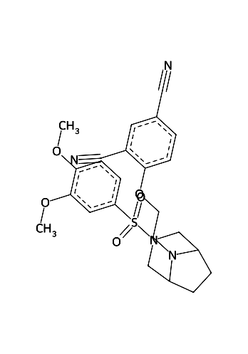 COc1ccc(S(=O)(=O)N2CC3CCC(C2)N3CCOc2ccc(C#N)cc2C#N)cc1OC